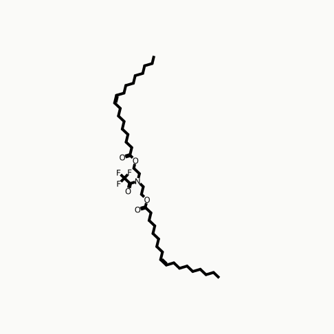 CCCCCCCC/C=C\CCCCCCCC(=O)OCCN(CCOC(=O)CCCCCCC/C=C\CCCCCCCC)C(=O)C(F)(F)F